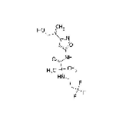 C=C(CO)c1cc(NC(=O)C(C)(C)NCCC(F)(F)F)on1